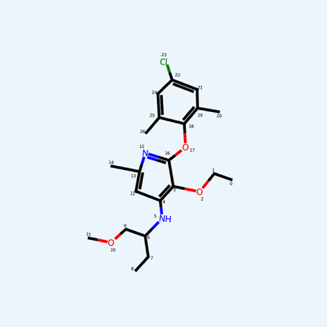 CCOc1c(NC(CC)COC)cc(C)nc1Oc1c(C)cc(Cl)cc1C